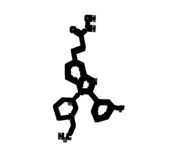 CCN1CCC[C@@H](n2c(-c3cccc(F)c3)nc3cc(C=CC(=O)NO)ccc32)C1